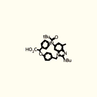 CCCCc1nc2c(C)cc(NC(=O)C(C)(C)C)cc2n1Cc1ccc(OC(C(=O)O)c2ccccc2)cc1